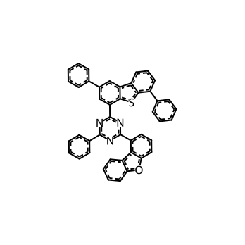 c1ccc(-c2cc(-c3nc(-c4ccccc4)nc(-c4cccc5oc6ccccc6c45)n3)c3sc4c(-c5ccccc5)cccc4c3c2)cc1